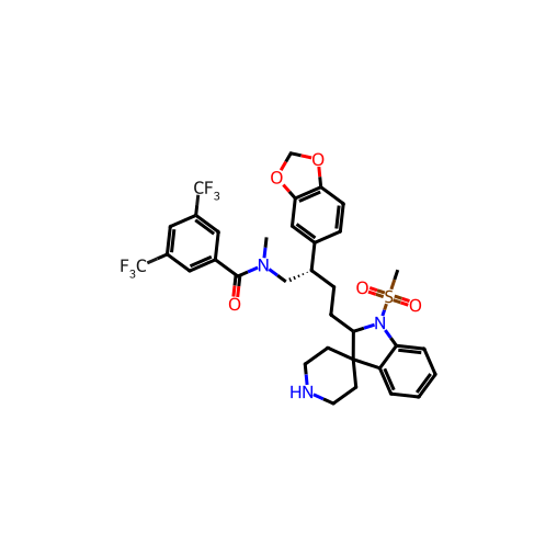 CN(C[C@@H](CCC1N(S(C)(=O)=O)c2ccccc2C12CCNCC2)c1ccc2c(c1)OCO2)C(=O)c1cc(C(F)(F)F)cc(C(F)(F)F)c1